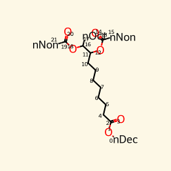 CCCCCCCCCCOC(=O)CCCCCCCC(OC(=O)CCCCCCCCC)C(CCCCCCCC)OC(=O)CCCCCCCCC